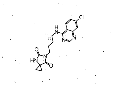 C[C@@H](CCCN1C(=O)NC2(CC2)C1=O)Nc1ncnc2cc(Cl)ccc12